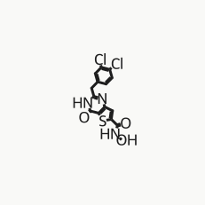 O=C(NO)c1cc2nc(Cc3ccc(Cl)c(Cl)c3)[nH]c(=O)c2s1